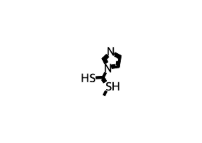 C[SH]=C(S)n1ccnc1